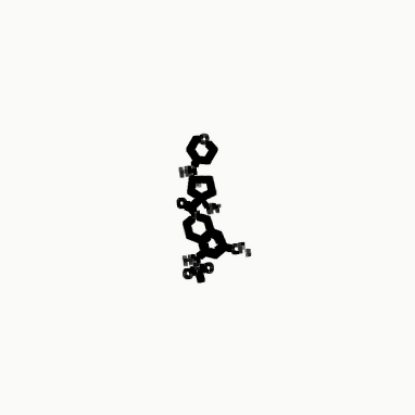 CC(C)[C@]1(C(=O)N2CCc3c(cc(C(F)(F)F)cc3NS(C)(=O)=O)C2)CC[C@@H](NC2CCOCC2)C1